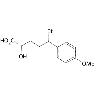 CCC(CC[C@H](O)C(=O)O)c1ccc(OC)cc1